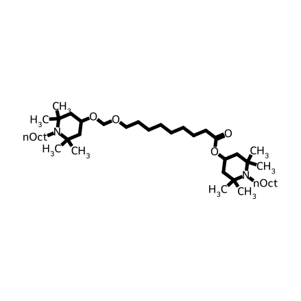 CCCCCCCCN1C(C)(C)CC(OCOCCCCCCCCC(=O)OC2CC(C)(C)N(CCCCCCCC)C(C)(C)C2)CC1(C)C